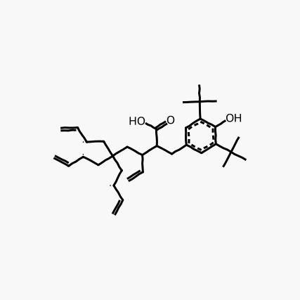 C=C[CH]CC(C[CH]C=C)(C[CH]C=C)CC(C=C)C(Cc1cc(C(C)(C)C)c(O)c(C(C)(C)C)c1)C(=O)O